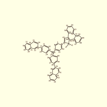 CC1(C)C(c2ccc(N(c3ccc(-c4ccc5ccccc5c4)cc3)c3ccc(-c4ccc5ccccc5c4)cc3)cc2)=Cc2c1c1ccccc1c1ccccc21